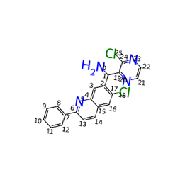 NC(c1cc2nc(-c3ccccc3)ccc2cc1Cl)c1nccnc1Cl